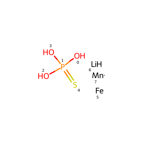 OP(O)(O)=S.[Fe].[LiH].[Mn]